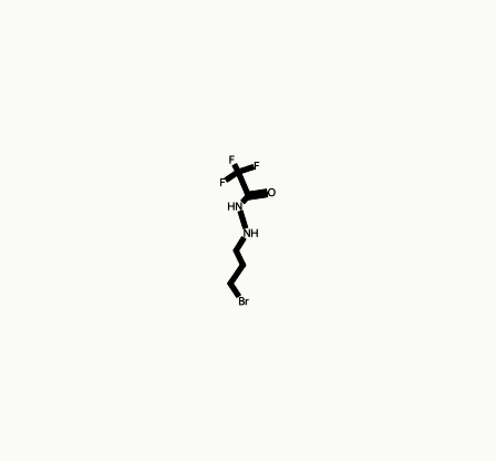 O=C(NNCCCBr)C(F)(F)F